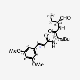 CC[C@H](C)[C@H](NC(=O)/C=C/c1cc(OC)cc(OC)c1)C(=O)N[C@H](C=O)CC(C)C